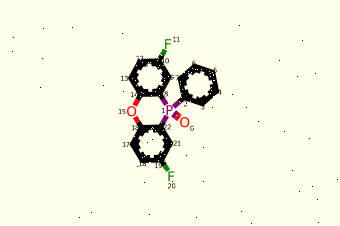 O=P1(c2ccccc2)c2cc(F)ccc2Oc2ccc(F)cc21